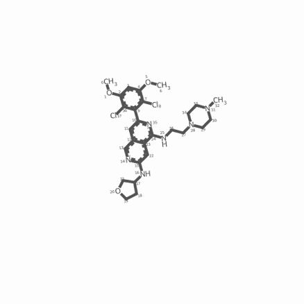 COc1cc(OC)c(Cl)c(-c2cc3cnc(NC4CCOC4)cc3c(NCCN3CCN(C)CC3)n2)c1Cl